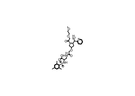 COCCOCC(=O)N1CC(OCC(=O)NCC(NS(=O)(=O)c2c(C)cc(C)cc2C)C(=O)O)CC1C(N)c1ccccn1